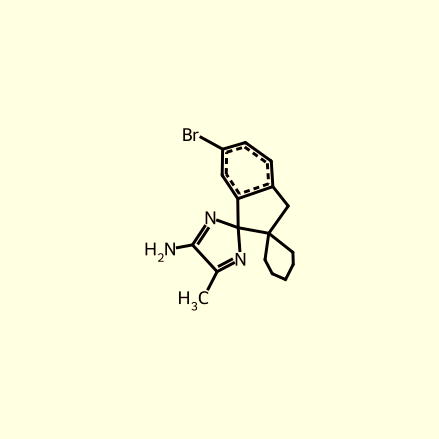 CC1=NC2(N=C1N)c1cc(Br)ccc1CC21CCCCC1